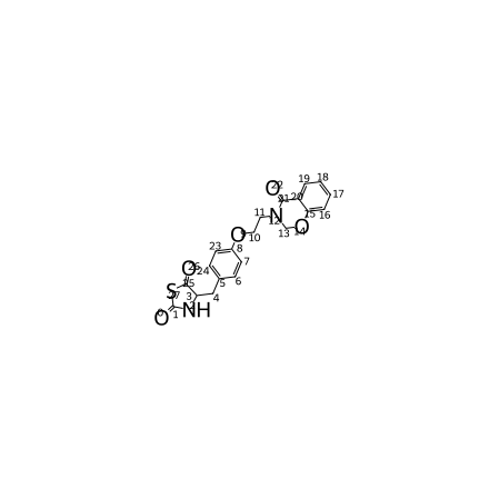 O=C1NC(Cc2ccc(OCCN3COc4ccccc4C3=O)cc2)C(=O)S1